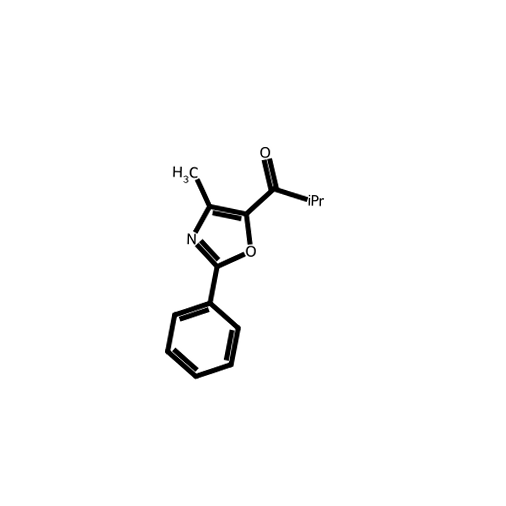 Cc1nc(-c2ccccc2)oc1C(=O)C(C)C